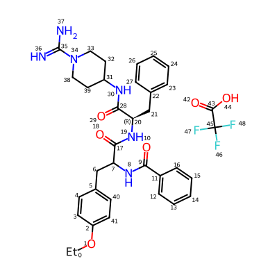 CCOc1ccc(CC(NC(=O)c2ccccc2)C(=O)N[C@H](Cc2ccccc2)C(=O)NC2CCN(C(=N)N)CC2)cc1.O=C(O)C(F)(F)F